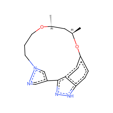 C[C@@H]1C[C@@H](C)Oc2ccc3[nH]nc(c3c2)-c2cnn(c2)CCCO1